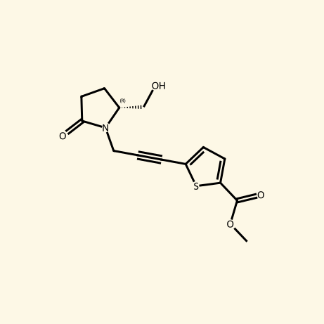 COC(=O)c1ccc(C#CCN2C(=O)CC[C@@H]2CO)s1